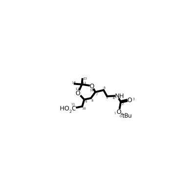 CC(C)(C)OC(=O)NCCC1CC(CC(=O)O)OC(C)(C)O1